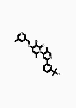 Cc1cncc(COc2cc(C)n(-c3cc(-c4cccc(C(C)(C)O)n4)ncc3C)c(=O)c2Br)c1